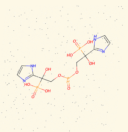 O=[PH](OCC(O)(c1ncc[nH]1)P(=O)(O)O)OCC(O)(c1ncc[nH]1)P(=O)(O)O